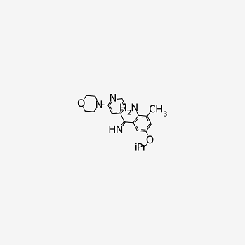 Cc1cc(OC(C)C)cc(C(=N)c2ccnc(N3CCOCC3)c2)c1N